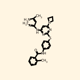 C/N=C(\C=C(\C)N)Nc1cc(N2CCC2)nc(Sc2ccc(NC(=O)c3ccccc3C)cc2)n1